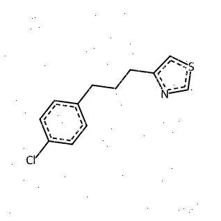 Clc1ccc(CCCc2cs[c]n2)cc1